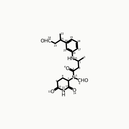 CC(CC(=O)N(C=O)C1CCC(=O)NC1=O)Nc1cccc(C(C)CC=O)c1